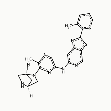 Cc1cccnc1-c1nc2cc(Nc3cnc(C)c(N4C[C@@H]5C[C@H]4CN5)n3)ncc2s1